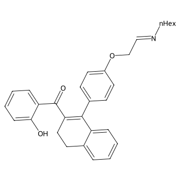 CCCCCCN=CCOc1ccc(C2=C(C(=O)c3ccccc3O)CCc3ccccc32)cc1